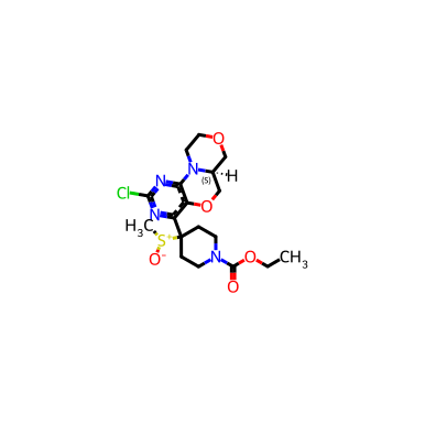 CCOC(=O)N1CCC(c2nc(Cl)nc3c2OC[C@@H]2COCCN32)([S+](C)[O-])CC1